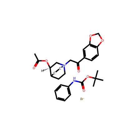 CC(=O)O[C@H]1C[N+]2(CC(=O)c3ccc4c(c3)OCO4)CCC1CC2.CC(C)(C)OC(=O)Nc1ccccc1.[Br-]